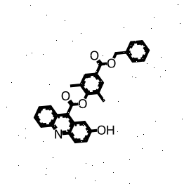 Cc1cc(C(=O)OCc2ccccc2)cc(C)c1OC(=O)c1c2ccccc2nc2ccc(O)cc12